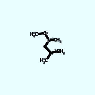 CON(C)CC(C)[SiH3]